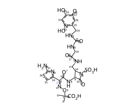 CC(C)(O/N=C(\C(=O)NC1C(=O)N(S(=O)(=O)O)C1CNC(=O)CNC(=O)NCc1cc(=O)c(O)cn1O)c1csc(N)n1)C(=O)O